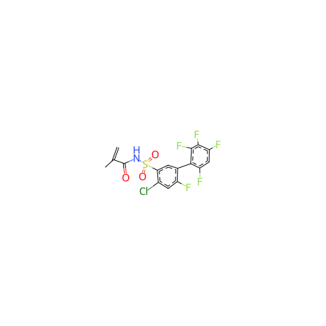 C=C(C)C(=O)NS(=O)(=O)c1cc(-c2c(F)cc(F)c(F)c2F)c(F)cc1Cl